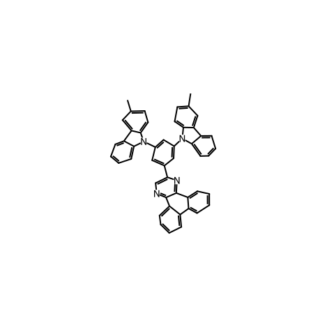 Cc1ccc2c(c1)c1ccccc1n2-c1cc(-c2cnc3c4ccccc4c4ccccc4c3n2)cc(-n2c3ccccc3c3cc(C)ccc32)c1